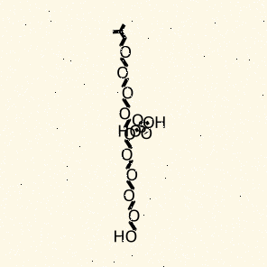 CC(C)CCOCCOCCOCCOCCOCCOCCOCCOCCOCCO.O=S(=O)(O)O